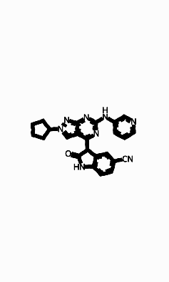 N#Cc1ccc2c(c1)C(c1nc(Nc3cccnc3)nc3nn(C4CCCC4)cc13)C(=O)N2